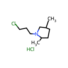 CC1CCC(C)N(CCCCl)C1.Cl